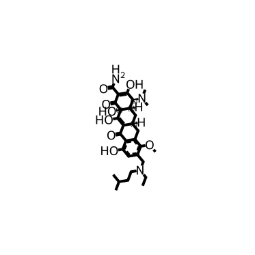 CCN(CCC(C)C)Cc1cc(O)c2c(c1OC)C[C@H]1C[C@H]3[C@H](N(C)C)C(O)=C(C(N)=O)C(=O)[C@@]3(O)C(O)=C1C2=O